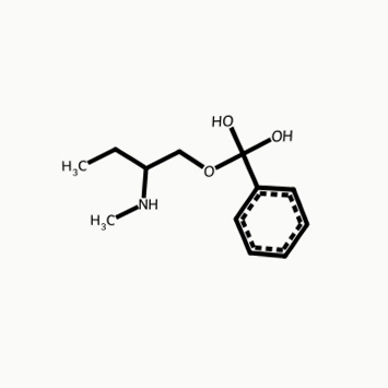 CCC(COC(O)(O)c1ccccc1)NC